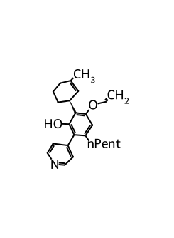 C=COc1cc(CCCCC)c(-c2ccncc2)c(O)c1[C@@H]1C=C(C)CCC1